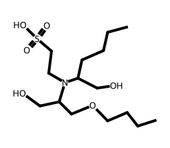 CCCCOCC(CO)N(CCS(=O)(=O)O)C(CO)CCCC